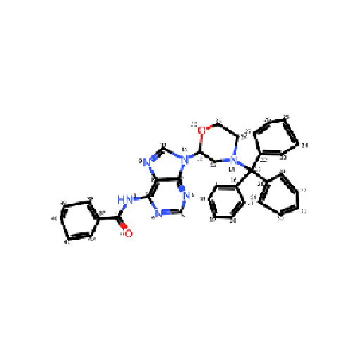 O=C(Nc1ncnc2c1ncn2C1CN(C(c2ccccc2)(c2ccccc2)c2ccccc2)CCO1)c1ccccc1